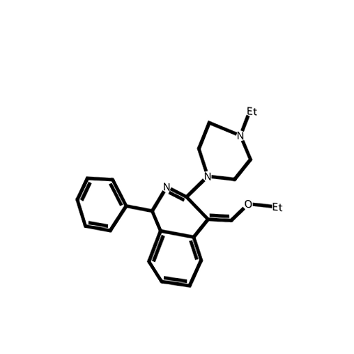 CCOC=C1C(N2CCN(CC)CC2)=NC(c2ccccc2)c2ccccc21